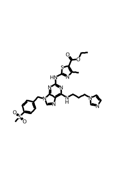 CCOC(=O)c1sc(Nc2nc(NCCCn3ccnc3)c3ncn(Cc4ccc(S(C)(=O)=O)cc4)c3n2)nc1C